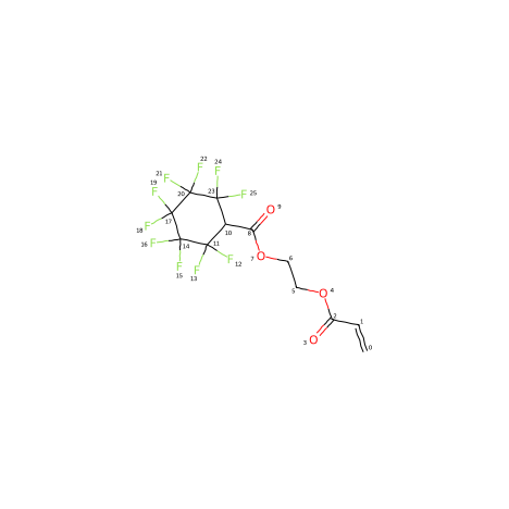 C=CC(=O)OCCOC(=O)C1C(F)(F)C(F)(F)C(F)(F)C(F)(F)C1(F)F